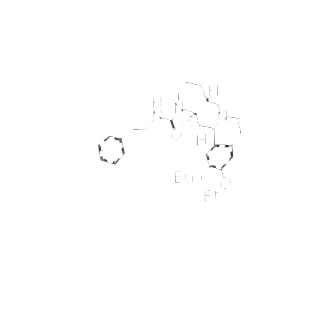 CCOc1cc2c(cc1OCC)[C@H]1C[C@H]3[C@H](CCCN3C(=O)NCCc3ccccc3)CN1CC2